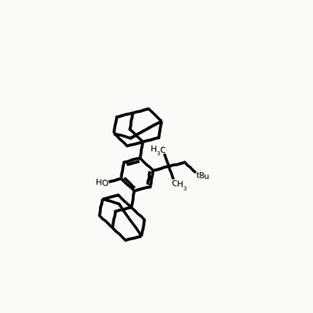 CC(C)(C)CC(C)(C)c1cc(C23CC4CC(CC(C4)C2)C3)c(O)cc1C12CC3CC(CC(C3)C1)C2